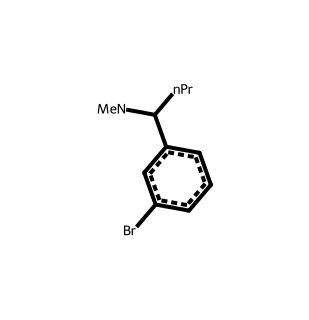 CCCC(NC)c1cccc(Br)c1